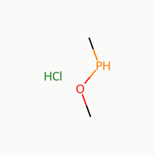 COPC.Cl